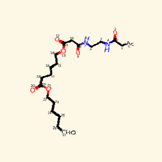 CC(=O)CC(=O)NCCNC(=O)CC(=O)OCCCCCC(=O)OCCCCCC=O